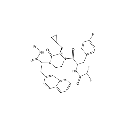 CC(C)NC(=O)C(Cc1ccc2ccccc2c1)N1CCN(C(=O)C(Cc2ccc(F)cc2)NC(=O)C(F)F)[C@H](CC2CC2)C1=O